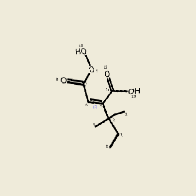 CCC(C)(C)/C(=C/C(=O)OO)C(=O)O